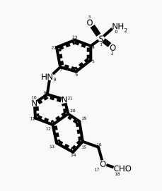 NS(=O)(=O)c1ccc(Nc2ncc3ccc(COC=O)cc3n2)cc1